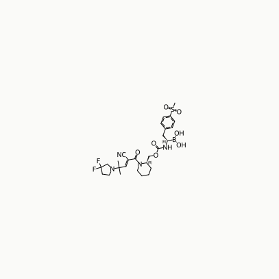 CC(C)(C=C(C#N)C(=O)N1CCCC[C@@H]1COC(=O)N[C@@H](Cc1ccc(S(C)(=O)=O)cc1)B(O)O)N1CCC(F)(F)C1